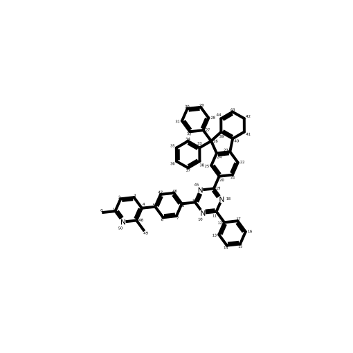 Cc1ccc(-c2ccc(-c3nc(-c4ccccc4)nc(-c4ccc5c(c4)C(c4ccccc4)(c4ccccc4)C4=C5CCC=C4)n3)cc2)c(C)n1